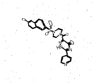 O=C(c1n[nH]c(-c2ccncc2)nc1=O)N1CCN(S(=O)(=O)c2ccc3cc(Cl)ccc3c2)CC1